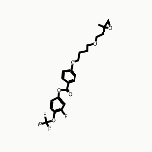 CC1(CCOCCCCOc2ccc(C(=O)Oc3ccc(OC(F)(F)F)c(F)c3)cc2)CO1